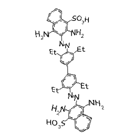 CCc1cc(-c2cc(CC)c(/N=N/c3c(N)c(S(=O)(=O)O)c4ccccc4c3N)c(CC)c2)cc(CC)c1/N=N/c1c(N)c(S(=O)(=O)O)c2ccccc2c1N